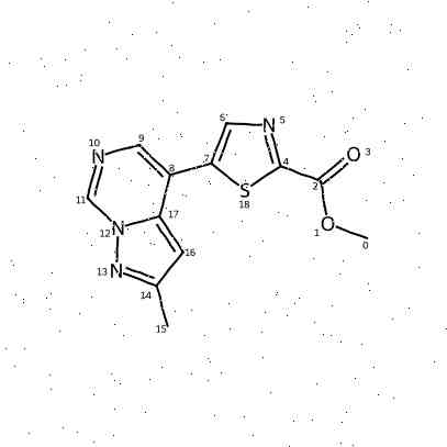 COC(=O)c1ncc(-c2cncn3nc(C)cc23)s1